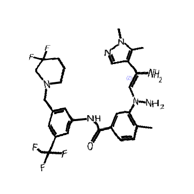 Cc1ccc(C(=O)Nc2cc(CN3CCCC(F)(F)C3)cc(C(F)(F)F)c2)cc1N(N)/C=C(\N)c1cnn(C)c1C